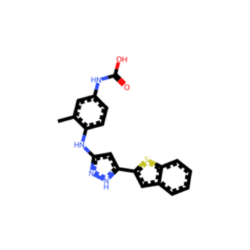 Cc1cc(NC(=O)O)ccc1Nc1cc(-c2cc3ccccc3s2)[nH]n1